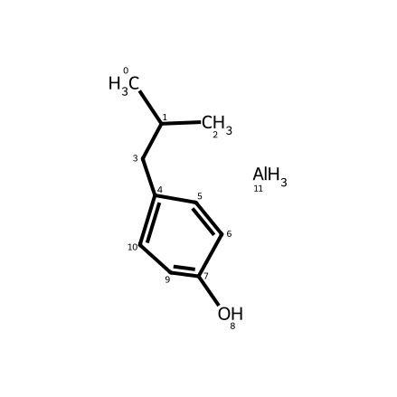 CC(C)Cc1ccc(O)cc1.[AlH3]